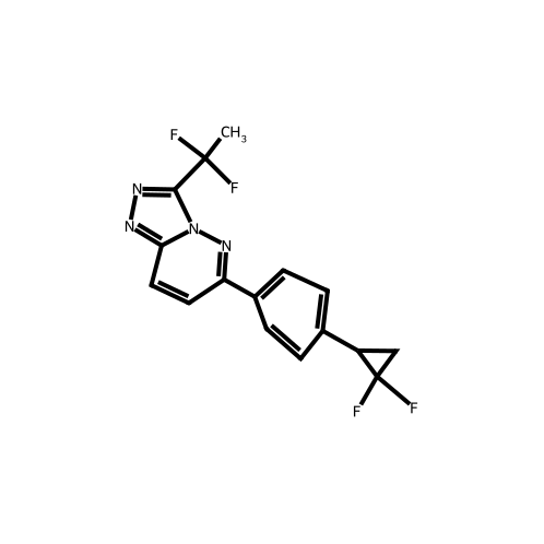 CC(F)(F)c1nnc2ccc(-c3ccc(C4CC4(F)F)cc3)nn12